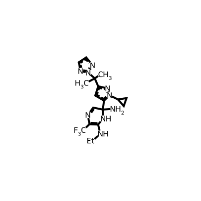 CCNC1=C(C(F)(F)F)N=CC(N)(c2cc(C(C)(C)n3nccn3)nn2C2CC2)N1